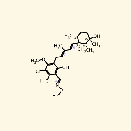 CO/N=C/c1c(C)c(Cl)c(OC)c(C/C=C(C)/C=C/[C@@]2(C)[C@H](C)CC[C@](C)(O)[C@@H]2C)c1O